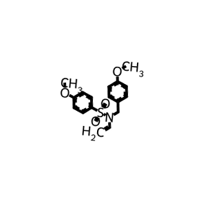 C=CN(Cc1ccc(OC)cc1)S(=O)(=O)c1ccc(OC)cc1